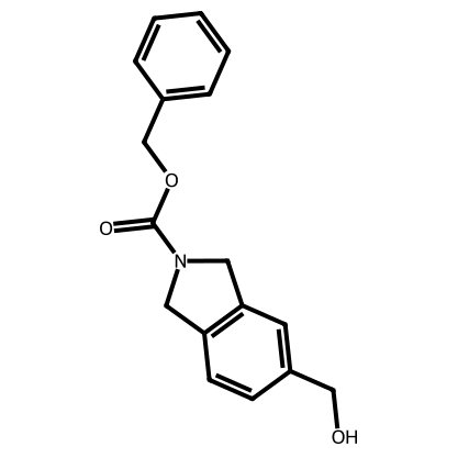 O=C(OCc1ccccc1)N1Cc2ccc(CO)cc2C1